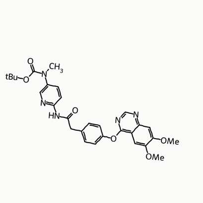 COc1cc2ncnc(Oc3ccc(CC(=O)Nc4ccc(N(C)C(=O)OC(C)(C)C)cn4)cc3)c2cc1OC